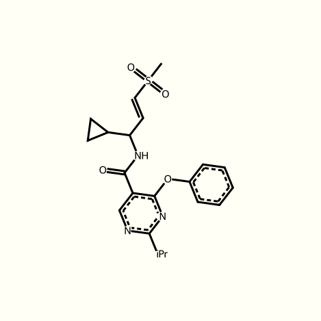 CC(C)c1ncc(C(=O)NC(C=CS(C)(=O)=O)C2CC2)c(Oc2ccccc2)n1